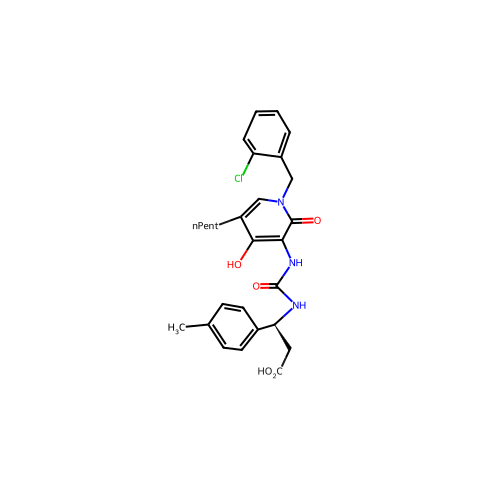 CCCCCc1cn(Cc2ccccc2Cl)c(=O)c(NC(=O)N[C@@H](CC(=O)O)c2ccc(C)cc2)c1O